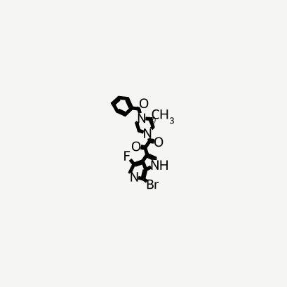 C[C@@H]1CN(C(=O)C(=O)c2c[nH]c3c(Br)ncc(F)c23)CCN1C(=O)c1ccccc1